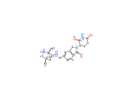 O=C1CCC(N2Cc3cc(CN[C@H]4C[C@@H]5CN[C@H]4C5)ccc3C2=O)C(=O)N1